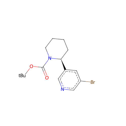 CC(C)(C)OC(=O)N1CCCC[C@H]1c1cncc(Br)c1